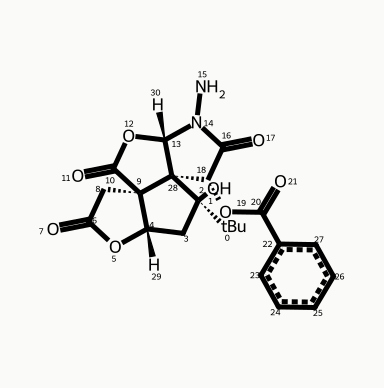 CC(C)(C)[C@]1(O)C[C@@H]2OC(=O)C[C@@]23C(=O)O[C@@H]2N(N)C(=O)[C@H](OC(=O)c4ccccc4)[C@]213